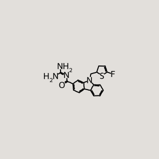 NC(N)=NC(=O)c1ccc2c3ccccc3n(CC3CC=C(F)S3)c2c1